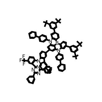 CC(C)(C)c1cc(-c2ccc3c(c2)N(c2ccc(-c4ccccc4)cc2)c2cc(-c4ccc5c(c4)c4cc(C(C)(C)C)ccc4n5-c4ccc(C(F)(F)F)cc4-c4nc(-c5ccccc5)nc(-c5ccccc5)n4)cc4c2B3c2ccc(-c3cc(C(C)(C)C)cc(C(C)(C)C)c3)cc2N4c2ccc(-c3ccccc3)cc2)cc(C(C)(C)C)c1